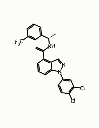 C=C(N[C@@H](C)c1cccc(C(F)(F)F)c1)c1cccc2c1cnn2-c1ccc(Cl)c(Cl)c1